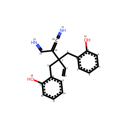 C=CC(Cc1ccccc1O)(Cc1ccccc1O)C(=C=N)C=N